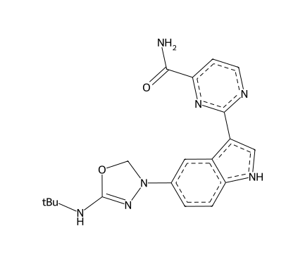 CC(C)(C)NC1=NN(c2ccc3[nH]cc(-c4nccc(C(N)=O)n4)c3c2)CO1